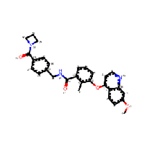 COc1ccc2c(Oc3cccc(C(=O)NCc4ccc(C(=O)N5CCC5)cc4)c3C)ccnc2c1